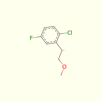 COC[CH]c1cc(F)ccc1Cl